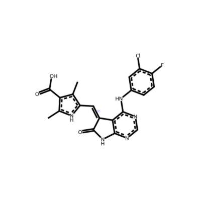 Cc1[nH]c(/C=C2\C(=O)Nc3ncnc(Nc4ccc(F)c(Cl)c4)c32)c(C)c1C(=O)O